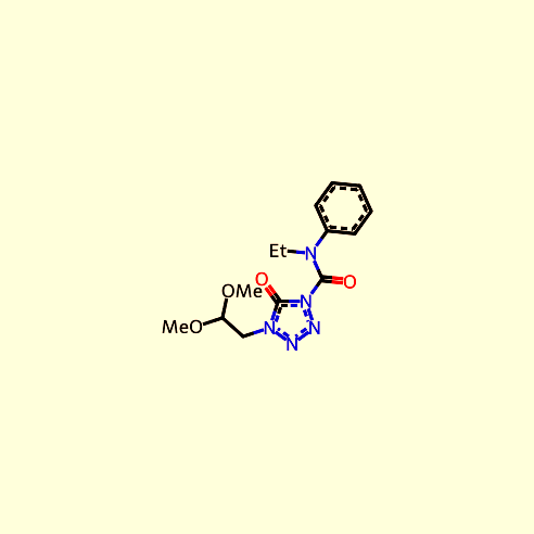 CCN(C(=O)n1nnn(CC(OC)OC)c1=O)c1ccccc1